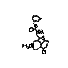 CN1CCc2c(Cl)ccc3sc(CNC(=O)OCc4ccccc4)c(c23)C1